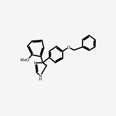 COc1ccccc1C1(c2ccc(OCc3ccccc3)cc2)CNC=N1